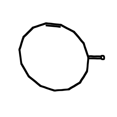 O=C1CCC=CCCCCCCCCCC1